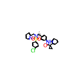 C[C@H](c1ccc(NC(=O)C2(c3ccccc3)CC2)cc1)N(Cc1ccccn1)S(=O)(=O)c1ccc(Cl)cc1